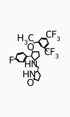 C[C@@H](O[C@H]1CC[C@@H](NC[C@H]2CCC(=O)N2)[C@H]1c1ccc(F)cc1)c1cc(C(F)(F)F)cc(C(F)(F)F)c1